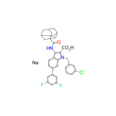 O=C(O)c1c(NC(=O)C23CC4CC(CC(C4)C2)C3)c2ccc(-c3cc(F)cc(F)c3)cc2n1Cc1cccc(Cl)c1.[Na]